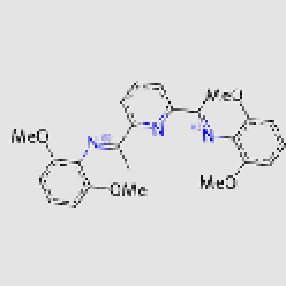 COc1cccc(OC)c1/N=C(\C)c1cccc(/C(C)=N/c2c(OC)cccc2OC)n1